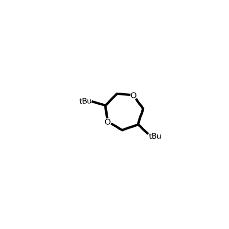 CC(C)(C)C1COCC(C(C)(C)C)OC1